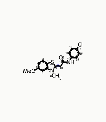 COc1ccc2c(c1)N(C)/C(=C/C(=O)Nc1ccc(Cl)cc1)S2